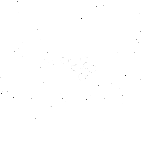 c1ccc(C(c2ccccc2)(c2ccccc2)n2ccc(-c3cccc(CNC4CCCCCC4)c3)n2)cc1